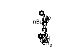 CCCCC1CN(CC2CCCCC2)C(=O)OC12CCN(C1CCN(C(=O)c3ccccc3NS(C)(=O)=O)CC1)CC2